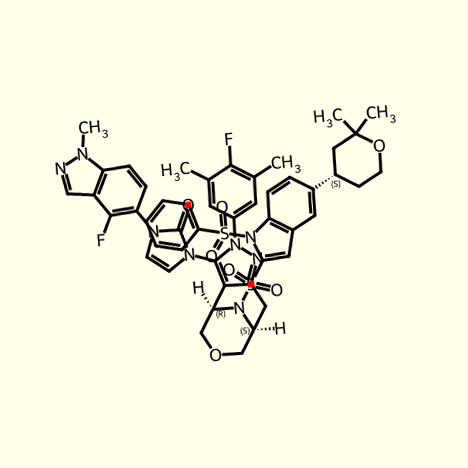 Cc1cc(-n2nc3c(c2-n2ccn(-c4ccc5c(cnn5C)c4F)c2=O)[C@@H]2COC[C@H](C3)N2S(=O)(=O)c2cc3cc([C@H]4CCOC(C)(C)C4)ccc3n2S(=O)(=O)c2ccccc2)cc(C)c1F